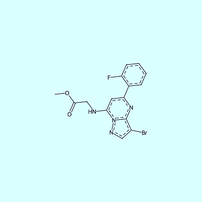 COC(=O)CNc1cc(-c2ccccc2F)nc2c(Br)cnn12